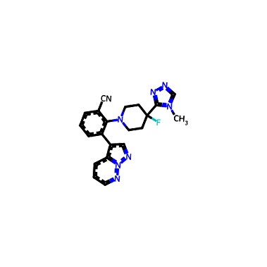 Cn1cnnc1C1(F)CCN(c2c(C#N)cccc2-c2cnn3ncccc23)CC1